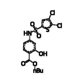 CCCCOC(=O)c1ccc(NS(=O)(=O)c2cc(Cl)c(Cl)s2)cc1O